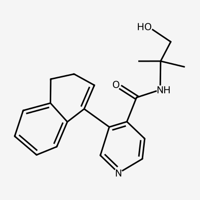 CC(C)(CO)NC(=O)c1ccncc1C1=CCCc2ccccc21